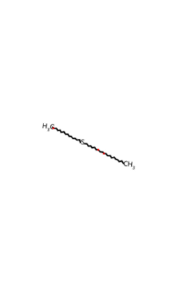 CCCCCCCCCCCCCCCCCCCCCCSCCCCCCCCCCCCCCCC